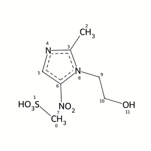 CS(=O)(=O)O.Cc1ncc([N+](=O)[O-])n1CCO